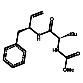 C=C[C@H](Cc1ccccc1)NC(=O)[C@@H](NC(=O)OC)C(C)(C)C